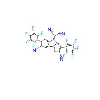 N#CC(C#N)=C1c2cc(-c3c(F)c(F)c(F)c(F)c3F)c(C#N)cc2-c2cc(C#N)c(-c3c(F)c(F)c(F)c(F)c3F)cc21